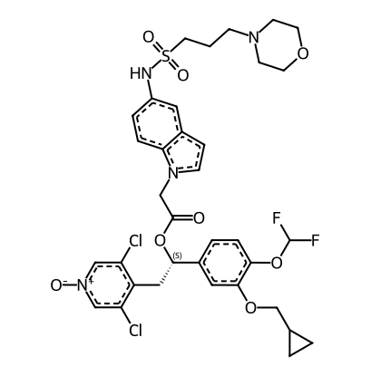 O=C(Cn1ccc2cc(NS(=O)(=O)CCCN3CCOCC3)ccc21)O[C@@H](Cc1c(Cl)c[n+]([O-])cc1Cl)c1ccc(OC(F)F)c(OCC2CC2)c1